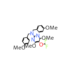 COc1ccc(CN(Cc2ccc(OC)cc2)c2nc(OC)c(OC(F)F)c(OC)n2)cc1